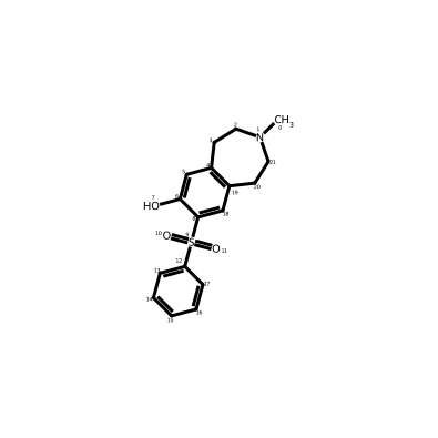 CN1CCc2cc(O)c(S(=O)(=O)c3ccccc3)cc2CC1